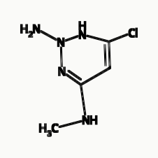 CNC1=NN(N)NC(Cl)=C1